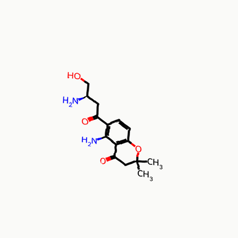 CC1(C)CC(=O)c2c(ccc(C(=O)C[C@@H](N)CO)c2N)O1